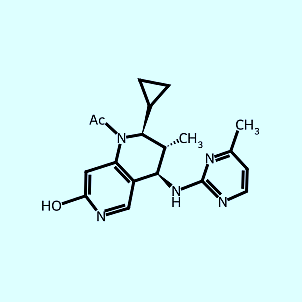 CC(=O)N1c2cc(O)ncc2[C@H](Nc2nccc(C)n2)[C@@H](C)[C@@H]1C1CC1